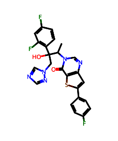 CC(n1cnc2cc(-c3ccc(F)cc3)sc2c1=O)C(O)(Cn1cncn1)c1ccc(F)cc1F